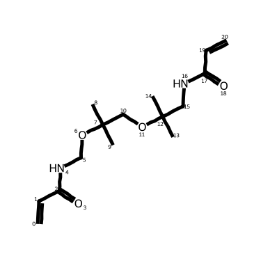 C=CC(=O)NCOC(C)(C)COC(C)(C)CNC(=O)C=C